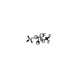 C[N+](C)(C)C.O=[Te](=O)([O-])OC(F)(F)F